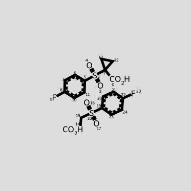 O=C(O)C1(S(=O)(=O)c2ccc(F)cc2)CC1.O=C(O)CS(=O)(=O)c1ccc(F)cc1